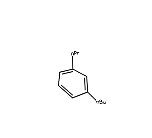 CCCCc1cccc(CCC)c1